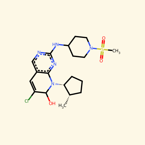 C[C@H]1CCC[C@H]1N1c2nc(NC3CCN(S(C)(=O)=O)CC3)ncc2C=C(Cl)C1O